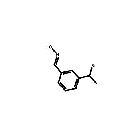 CC(Br)c1cccc(C=NO)c1